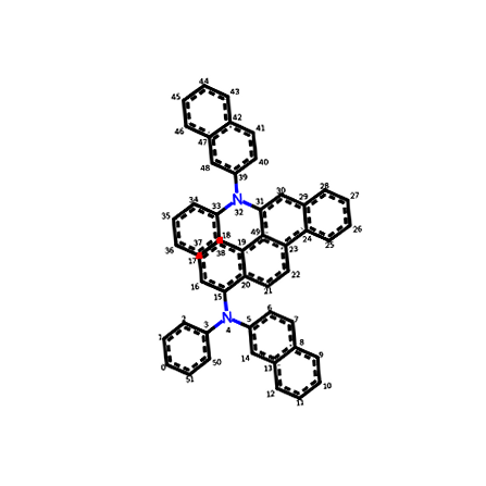 c1ccc(N(c2ccc3ccccc3c2)c2cccc3c2ccc2c4ccccc4cc(N(c4ccccc4)c4ccc5ccccc5c4)c32)cc1